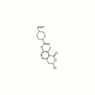 CCCCCC1CCC(C(=O)Oc2ccc3c(c2F)C(=O)OC(CC)C3)CC1